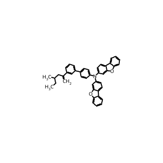 C=C(CC(C)CC)c1cccc(-c2ccc(N(c3ccc4c(c3)oc3ccccc34)c3ccc4c(c3)oc3ccccc34)cc2)c1